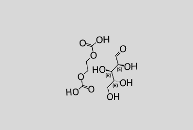 O=C(O)OCCOC(=O)O.O=C[C@@H](O)[C@H](O)[C@H](O)CO